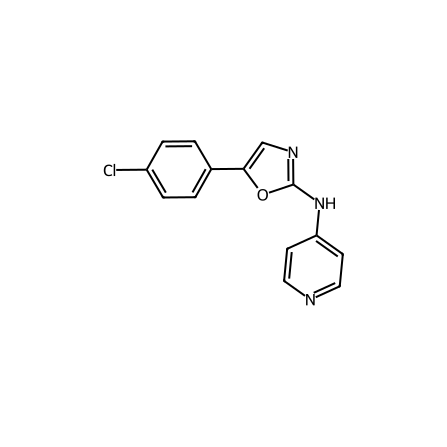 Clc1ccc(-c2cnc(Nc3ccncc3)o2)cc1